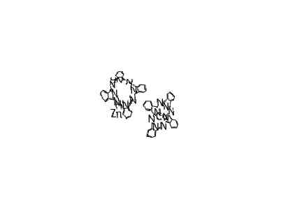 [Zn].c1ccc2c(c1)-c1nc-2nc2[nH]c(nc3nc(nc4[nH]c(n1)c1ccccc41)-c1ccccc1-3)c1ccccc21.c1ccc2c(c1)C1=NC/2=N\c2c3ccccc3c3[n]2[Cu][n]2/c(c4ccccc4/c2=N/C2=N\C(=N/3)c3ccccc32)=N\1